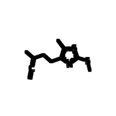 C=C=C(C)CCc1nc(SC)sc1C